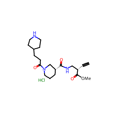 C#C[C@@H](CNC(=O)[C@@H]1CCCN(C(=O)CCC2CCNCC2)C1)C(=O)OC.Cl